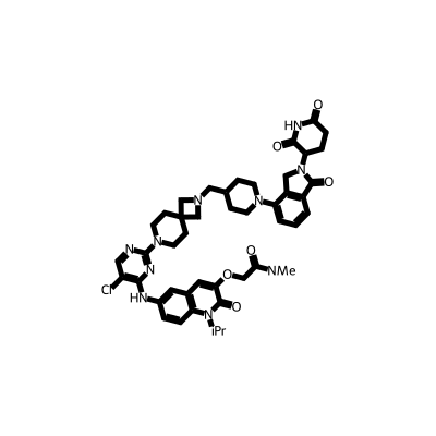 CNC(=O)COc1cc2cc(Nc3nc(N4CCC5(CC4)CN(CC4CCN(c6cccc7c6CN(C6CCC(=O)NC6=O)C7=O)CC4)C5)ncc3Cl)ccc2n(C(C)C)c1=O